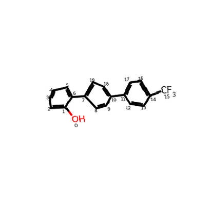 Oc1ccccc1-c1ccc(-c2ccc(C(F)(F)F)cc2)cc1